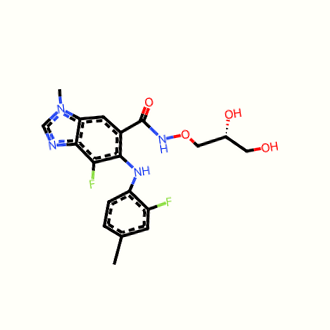 Cc1ccc(Nc2c(C(=O)NOC[C@H](O)CO)cc3c(ncn3C)c2F)c(F)c1